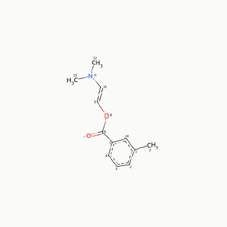 Cc1cccc(C(=O)OC=CN(C)C)c1